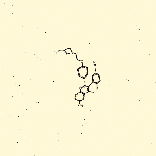 CC1=C(c2cc(C#N)ccc2F)[C@@H](c2ccc(OCCN3CC(CF)C3)cc2)Oc2ccc(O)cc21